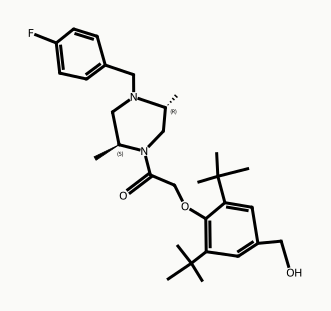 C[C@@H]1CN(C(=O)COc2c(C(C)(C)C)cc(CO)cc2C(C)(C)C)[C@@H](C)CN1Cc1ccc(F)cc1